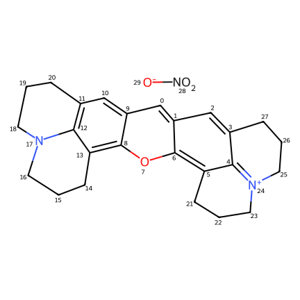 C1=c2cc3c4c(c2Oc2c1cc1c5c2CCCN5CCC1)CCC[N+]=4CCC3.O=[N+]([O-])[O-]